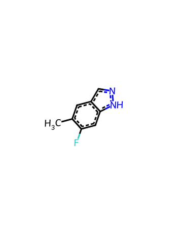 Cc1cc2cn[nH]c2cc1F